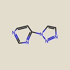 c1cc(-n2ccnn2)ncn1